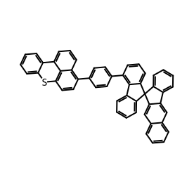 c1ccc2c(c1)Sc1ccc(-c3ccc(-c4cccc5c4-c4ccccc4C54c5ccccc5-c5cc6ccccc6cc54)cc3)c3cccc-2c13